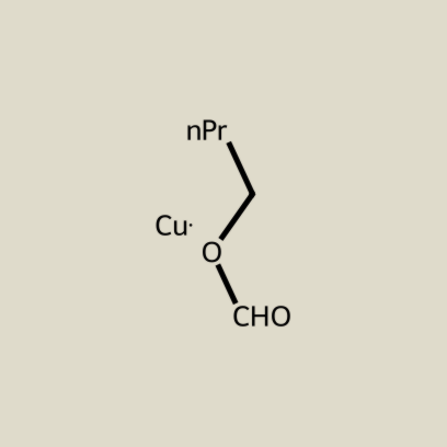 CCCCOC=O.[Cu]